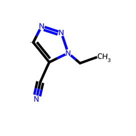 CCn1nn[c]c1C#N